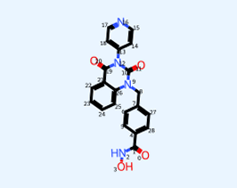 O=C(NO)c1ccc(Cn2c(=O)n(-c3ccncc3)c(=O)c3ccccc32)cc1